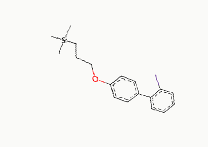 C[Si](C)(C)CCCOc1ccc(-c2ccccc2I)cc1